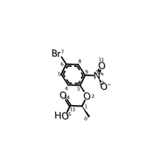 C[C@H](Oc1ccc(Br)cc1[N+](=O)[O-])C(=O)O